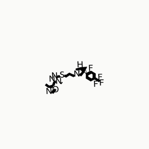 Cc1ncoc1-c1nnc(SCCCN2C[C@@H]3C[C@@]3(c3ccc(C(F)(F)F)cc3F)C2)n1C